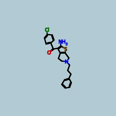 Nc1sc2c(c1C(=O)c1ccc(Cl)cc1)CCN(CCCc1ccccc1)C2